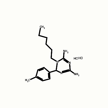 CCCCCCN1C(N)=NC(N)=NC1c1ccc(C)cc1.Cl.Cl